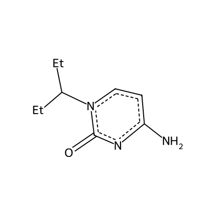 CCC(CC)n1ccc(N)nc1=O